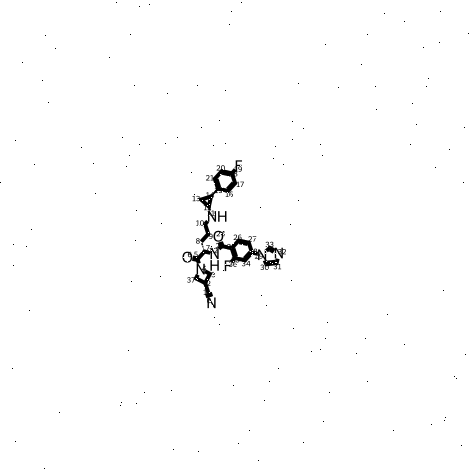 N#CC1CN(C(=O)[C@H](CCCN[C@@H]2C[C@H]2c2ccc(F)cc2)NC(=O)c2ccc(-n3ccnc3)cc2F)C1